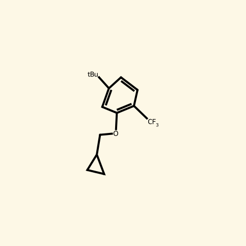 CC(C)(C)c1ccc(C(F)(F)F)c(OCC2CC2)c1